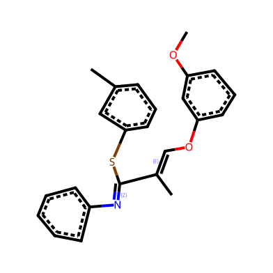 COc1cccc(O/C=C(C)/C(=N/c2ccccc2)Sc2cccc(C)c2)c1